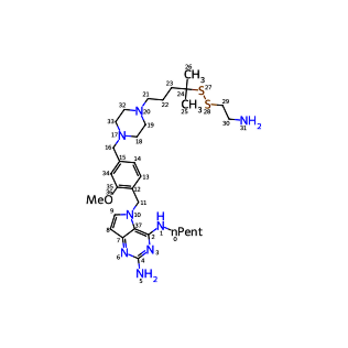 CCCCCNc1nc(N)nc2ccn(Cc3ccc(CN4CCN(CCCC(C)(C)SSCCN)CC4)cc3OC)c12